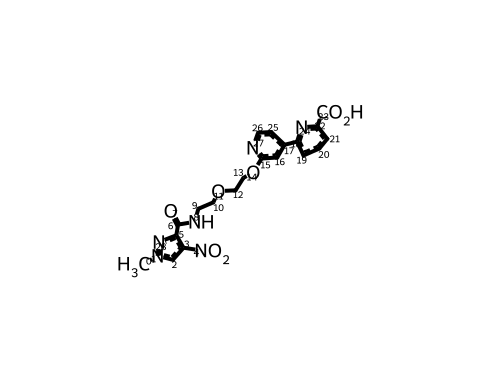 Cn1cc([N+](=O)[O-])c(C(=O)NCCOCCOc2cc(-c3cccc(C(=O)O)n3)ccn2)n1